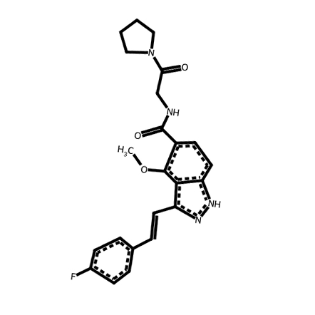 COc1c(C(=O)NCC(=O)N2CCCC2)ccc2[nH]nc(/C=C/c3ccc(F)cc3)c12